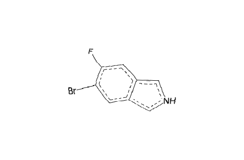 Fc1cc2c[nH]cc2cc1Br